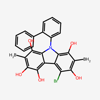 Bc1c(O)c(O)c2c3c(Br)c(O)c(B)c(O)c3n(-c3ccccc3-c3ccccc3)c2c1O